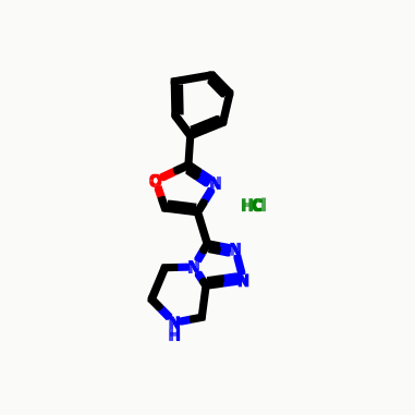 Cl.c1ccc(-c2nc(-c3nnc4n3CCNC4)co2)cc1